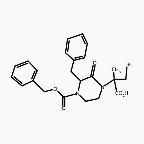 CC(C)CC(C)(C(=O)O)N1CCN(C(=O)OCc2ccccc2)C(Cc2ccccc2)C1=O